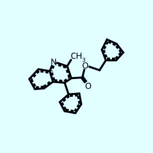 Cc1nc2ccccc2c(-c2ccccc2)c1C(=O)OCc1ccccc1